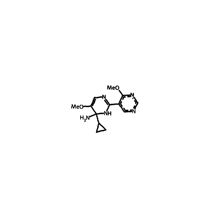 COC1=CN=C(c2cncnc2OC)NC1(N)C1CC1